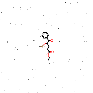 CCOC(=O)CCC(OSC)C(=O)c1ccccc1